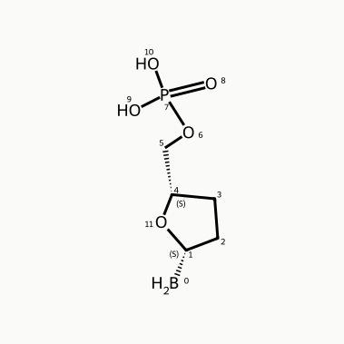 B[C@H]1CC[C@@H](COP(=O)(O)O)O1